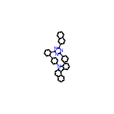 c1ccc(-c2nc(-c3ccc4ccccc4c3)nc(-c3ccccc3-c3ccc(-n4c5ccccc5c5c6ccccc6ccc54)cc3)n2)cc1